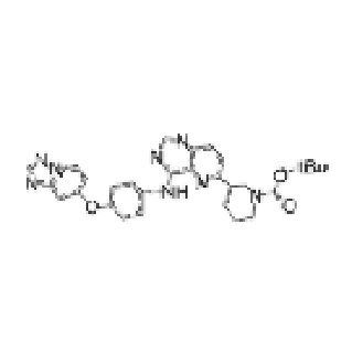 CC(C)(C)OC(=O)N1CCC=C(c2ccc3ncnc(Nc4ccc(Oc5ccn6ncnc6c5)cc4)c3n2)C1